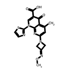 CON=C1CN(c2cc(C)c3c(=O)c(C(=O)O)cn(-c4nccs4)c3n2)C1